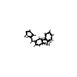 c1coc(Cc2ccc3[nH]c4ccccc4c3c2)c1